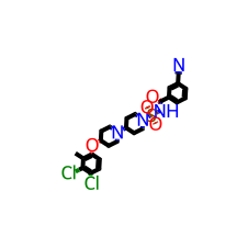 Cc1c(OC2CCN(C3CCN(S(=O)(=O)NC(=O)c4cccc(C#N)c4)CC3)CC2)ccc(Cl)c1Cl